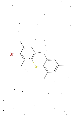 Cc1cc(C)c(Sc2c(C)cc(C)c(Br)c2C)c(C)c1